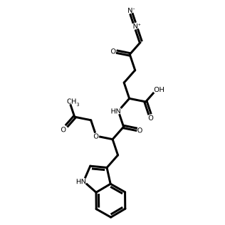 CC(=O)COC(Cc1c[nH]c2ccccc12)C(=O)NC(CCC(=O)C=[N+]=[N-])C(=O)O